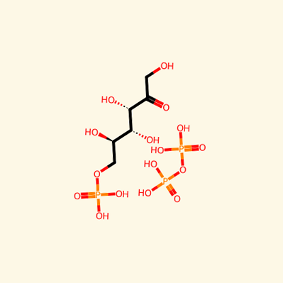 O=C(CO)[C@@H](O)[C@H](O)[C@H](O)COP(=O)(O)O.O=P(O)(O)OP(=O)(O)O